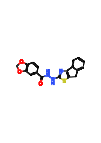 O=C(NNc1nc2c(s1)Cc1ccccc1-2)c1ccc2c(c1)OCO2